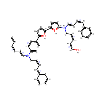 C=C/C=C\C=C\N(C/C=C\C=C1\C=CC=CC1)C(=C)/C=C\C(=C)c1ccc(-c2ccc(N(/C=C/C=C\c3ccccc3)C/C=C\C=C/O)o2)o1